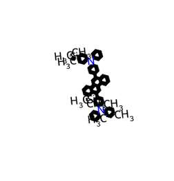 Cc1cc(C)c(N(c2ccccc2)c2ccc3c(c2)[Si](C)(C)c2cccc4c2c-3cc2c3ccccc3c(-c3ccc(N(c5ccccc5)c5ccc([Si](C)(C)C)cc5)cc3)cc42)c(C)c1